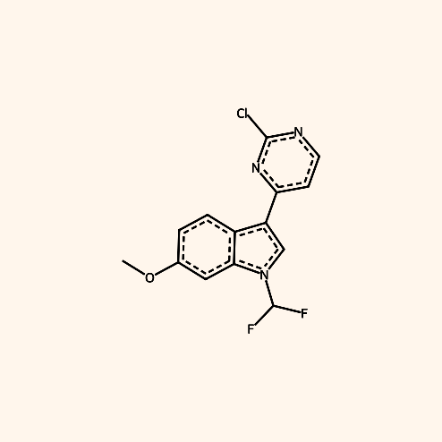 COc1ccc2c(-c3ccnc(Cl)n3)cn(C(F)F)c2c1